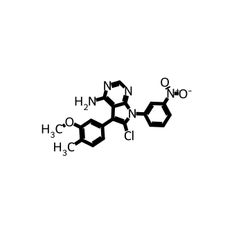 COc1cc(-c2c(Cl)n(-c3cccc([N+](=O)[O-])c3)c3ncnc(N)c23)ccc1C